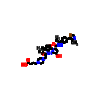 Cc1ncsc1-c1ccc([C@H](C)NC(=O)[C@@H]2C[C@@H](O)CN2C(=O)[C@@H](NC(=O)CN2CCN(CCCC(=O)O)CC2)C(C)(C)C)cc1